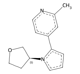 Cc1cc(-c2cccn2[C@H]2CCOC2)ccn1